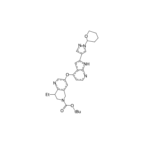 CCC1CN(C(=O)OC(C)(C)C)Cc2cc(Oc3ccnc4[nH]c(-c5cnn(C6CCCCO6)c5)cc34)cnc21